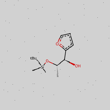 C[C@H](O[Si](C)(C)C(C)(C)C)[C@H](O)c1ccco1